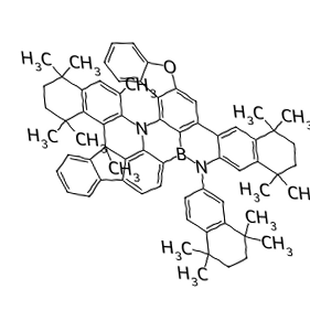 Cc1cc2c(c3c1N1c4c(ccc5c4C3(C)c3ccccc3-5)B3c4c(cc5oc6ccccc6c5c41)-c1cc4c(cc1N3c1ccc3c(c1)C(C)(C)CCC3(C)C)C(C)(C)CCC4(C)C)C(C)(C)CCC2(C)C